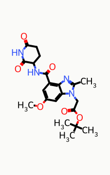 COc1cc(C(=O)NC2CCC(=O)NC2=O)c2nc(C)n(CC(=O)OC(C)(C)C)c2c1